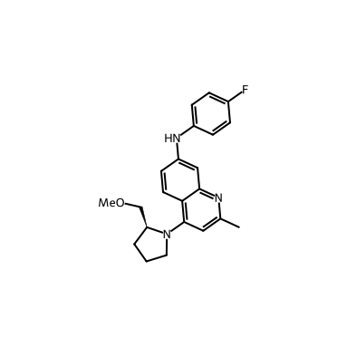 COC[C@@H]1CCCN1c1cc(C)nc2cc(Nc3ccc(F)cc3)ccc12